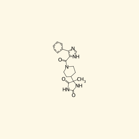 CC1(C2CCN(C(=O)c3[nH]cnc3-c3ccccc3)CC2)NC(=O)NC1=O